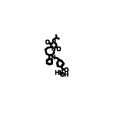 CC(C)CN1CC(=O)N2Cc3c(c4ccccc4n3Cc3ccc(C(=O)NO)cc3)CCCC2C1=O